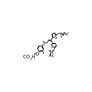 CC(=O)N(C)Cc1ccc(C(=CCSc2ccc(OCC(=O)O)c(C)c2)c2ccc(CN(C)C(C)=O)s2)s1